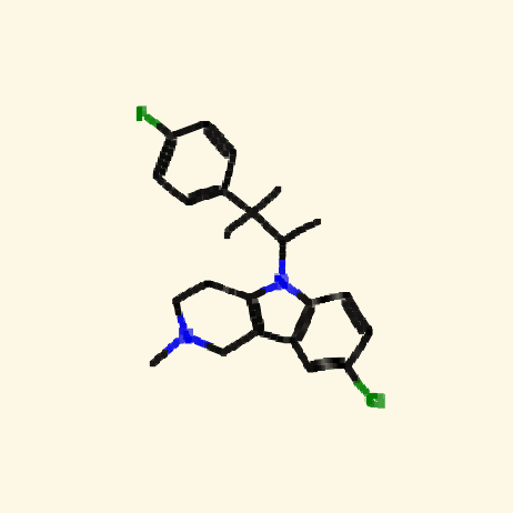 CC(n1c2c(c3cc(Cl)ccc31)CN(C)CC2)C(C)(C)c1ccc(F)cc1